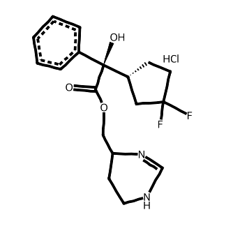 Cl.O=C(OCC1CCNC=N1)[C@](O)(c1ccccc1)[C@@H]1CCC(F)(F)C1